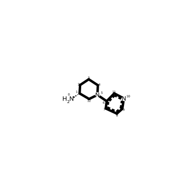 N[C@@H]1CCCN(c2cccnc2)C1